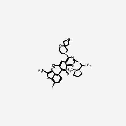 C[C@H](Oc1nc(N2CCOC3(CNC3)C2)c2cc(Cl)c(-c3ccc(F)c4sc(N)c(C#N)c34)c(F)c2n1)[C@@H]1CCCN1C